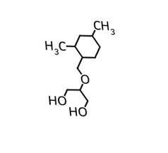 CC1CCC(COC(CO)CO)C(C)C1